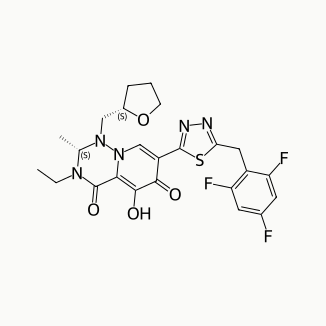 CCN1C(=O)c2c(O)c(=O)c(-c3nnc(Cc4c(F)cc(F)cc4F)s3)cn2N(C[C@@H]2CCCO2)[C@H]1C